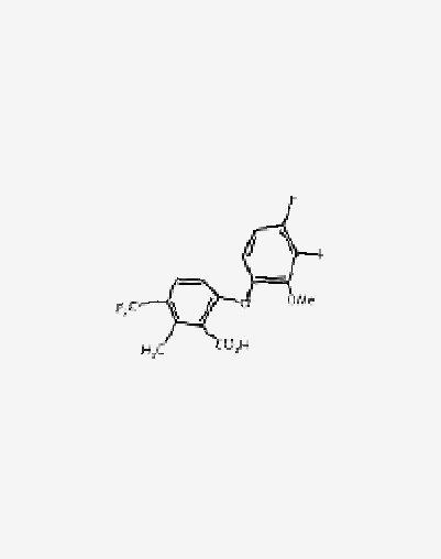 COc1c(Oc2ccc(C(F)(F)F)c(C)c2C(=O)O)ccc(F)c1F